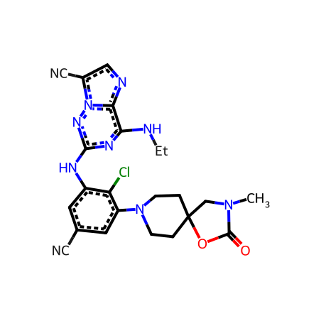 CCNc1nc(Nc2cc(C#N)cc(N3CCC4(CC3)CN(C)C(=O)O4)c2Cl)nn2c(C#N)cnc12